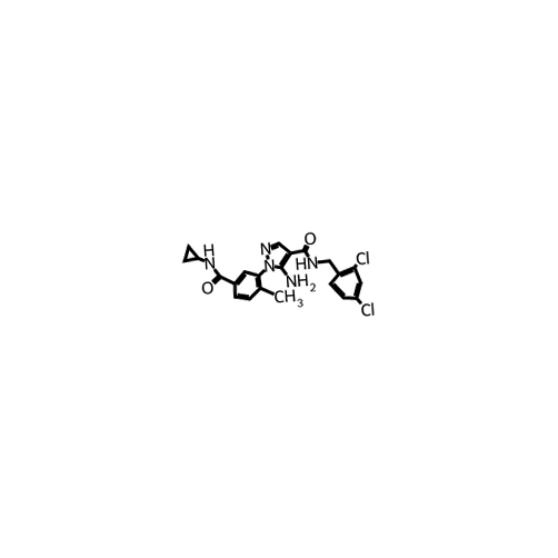 Cc1ccc(C(=O)NC2CC2)cc1-n1ncc(C(=O)NCc2ccc(Cl)cc2Cl)c1N